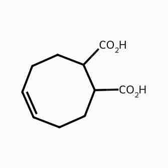 O=C(O)C1CCC=CCCC1C(=O)O